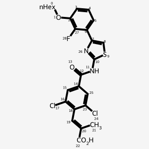 CCCCCCOc1cccc(-c2csc(NC(=O)c3cc(Cl)c(C=C(C)C(=O)O)c(Cl)c3)n2)c1F